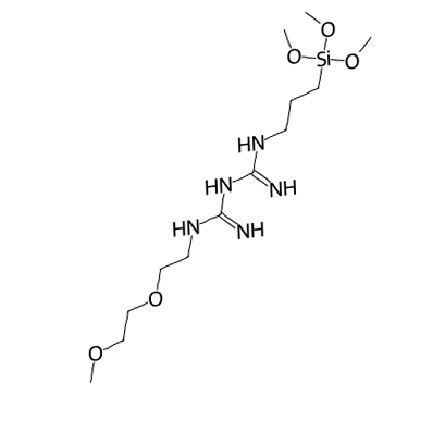 COCCOCCNC(=N)NC(=N)NCCC[Si](OC)(OC)OC